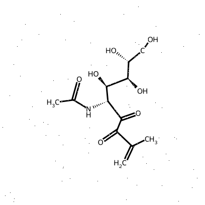 C=C(C)C(=O)C(=O)[C@H](NC(C)=O)[C@@H](O)[C@H](O)[C@H](O)CO